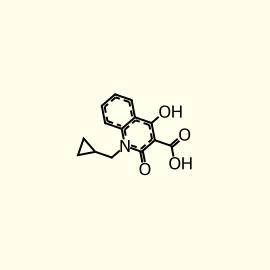 O=C(O)c1c(O)c2ccccc2n(CC2CC2)c1=O